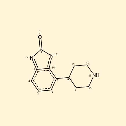 O=C1N=c2cccc(C3CCNCC3)c2=N1